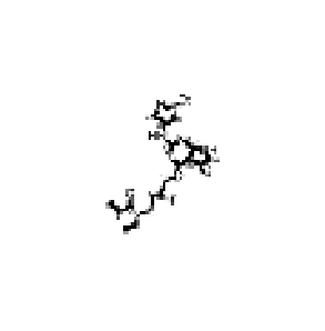 C=CC(=O)N(C=C)CC[C@@H](F)COc1nc(Nc2cnn(CC)c2)nc2[nH]cc(C)c12